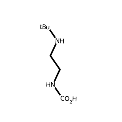 CC(C)(C)NCCNC(=O)O